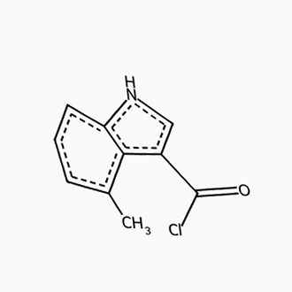 Cc1cccc2[nH]cc(C(=O)Cl)c12